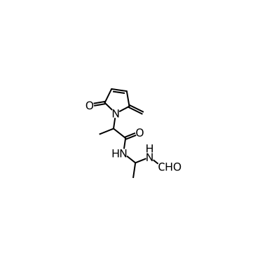 C=C1C=CC(=O)N1C(C)C(=O)NC(C)NC=O